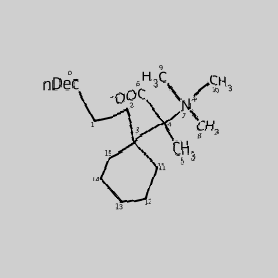 CCCCCCCCCCCCC1(C(C)(C(=O)[O-])[N+](C)(C)C)CCCCC1